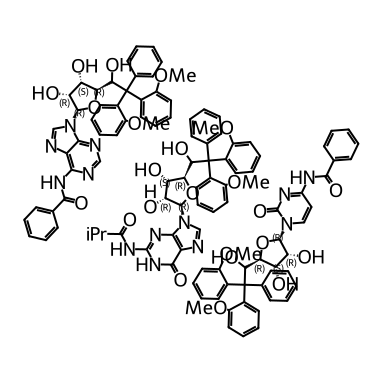 COc1ccccc1C(c1ccccc1)(c1ccccc1OC)C(O)[C@H]1O[C@@H](n2ccc(NC(=O)c3ccccc3)nc2=O)[C@H](O)[C@@H]1O.COc1ccccc1C(c1ccccc1)(c1ccccc1OC)C(O)[C@H]1O[C@@H](n2cnc3c(=O)[nH]c(NC(=O)C(C)C)nc32)[C@H](O)[C@@H]1O.COc1ccccc1C(c1ccccc1)(c1ccccc1OC)C(O)[C@H]1O[C@@H](n2cnc3c(NC(=O)c4ccccc4)ncnc32)[C@H](O)[C@@H]1O